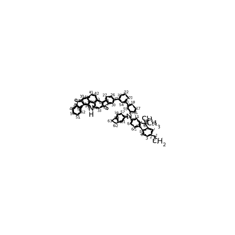 C=Cc1ccc2c(c1)C(C)(C)c1cc(N(c3cccc(-c4cccc(-c5ccc6c(c5)sc5cc7[nH]c8c9c(cc%10ccc(c56)c7c%108)sc5ccccc59)c4)c3)c3ccc4c(c3)CC4)ccc1-2